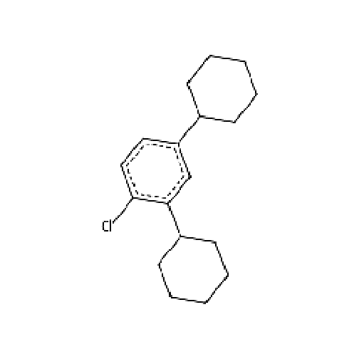 Clc1ccc(C2CCCCC2)cc1C1CCCCC1